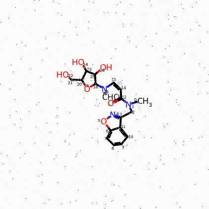 CN(Cc1noc2ccccc12)C(=O)/C=C\N(C=O)C1OC(CO)C(O)C1O